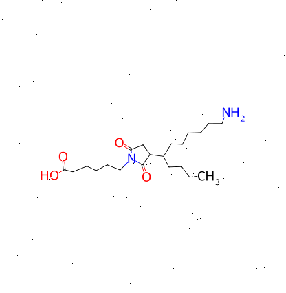 CCCCC(CCCCCCN)C1CC(=O)N(CCCCCC(=O)O)C1=O